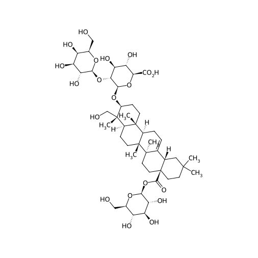 CC1(C)CC[C@]2(C(=O)O[C@@H]3O[C@H](CO)[C@@H](O)[C@H](O)[C@H]3O)CC[C@]3(C)C(=CC[C@@H]4[C@@]5(C)CC[C@H](O[C@@H]6O[C@H](C(=O)O)[C@@H](O)[C@H](O)[C@H]6O[C@@H]6O[C@H](CO)[C@H](O)[C@H](O)[C@H]6O)[C@@](C)(CO)[C@@H]5CC[C@]43C)[C@@H]2C1